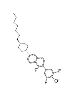 CCCCCCC[C@H]1CC[C@H](c2ccc3c(F)c(-c4cc(F)c(OC)c(F)c4)ccc3c2)CC1